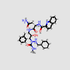 CC(C)(C)NC(=O)N(C[C@H](O)[C@H](Cc1ccccc1)NC(=O)[C@H](CC(N)=O)NC(=O)c1ccc2ccccc2n1)NCC1CCCCC1